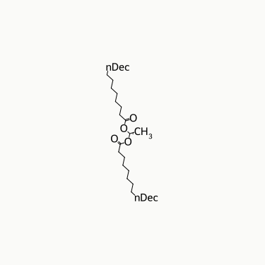 CCCCCCCCCCCCCCCCCC(=O)O[C](C)OC(=O)CCCCCCCCCCCCCCCCC